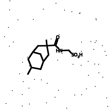 CC1CC2CC(C1)CC(C)(C(=O)NCS(=O)(=O)O)C2